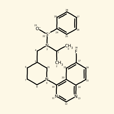 CC(C)N(CC1CCCN(c2ncnc3ccc(F)cc23)C1)[S+]([O-])c1ccccc1